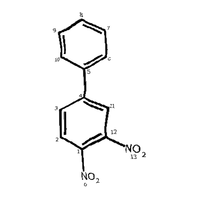 O=[N+]([O-])c1ccc(-c2ccccc2)cc1[N+](=O)[O-]